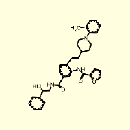 Cc1ccccc1N1CCC(CCc2ccc(C(=O)NC[C@H](O)c3ccccc3)cc2NC(=O)c2ccco2)CC1